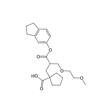 COCCOCC(CC1(C(=O)O)CCCC1)C(=O)Oc1ccc2c(c1)CCC2